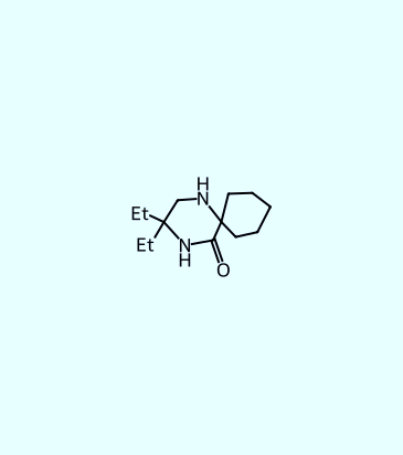 CCC1(CC)CNC2(CCCCC2)C(=O)N1